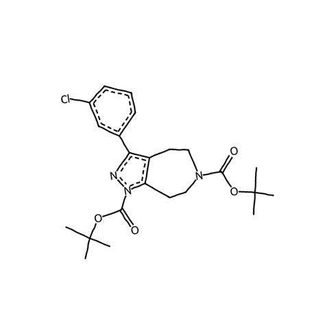 CC(C)(C)OC(=O)N1CCc2c(-c3cccc(Cl)c3)nn(C(=O)OC(C)(C)C)c2CC1